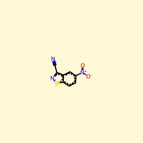 N#Cc1nsc2ccc([N+](=O)[O-])cc12